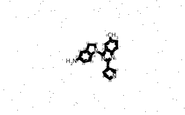 Cc1ccc2nc(-c3cccnc3)nc(N3CCc4cc(N)ccc43)c2c1